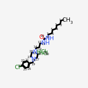 CCCCCCCCNC(=O)NCCCN1CCN(Cc2ccc(Cl)cc2)CC1.Cl.Cl